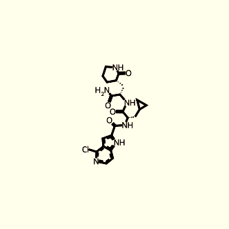 NC(=O)[C@H](C[C@@H]1CCCNC1=O)NC(=O)[C@H](CC1CC1)NC(=O)c1cc2c(Cl)nccc2[nH]1